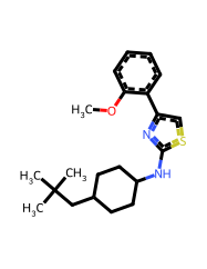 COc1ccccc1-c1csc(NC2CCC(CC(C)(C)C)CC2)n1